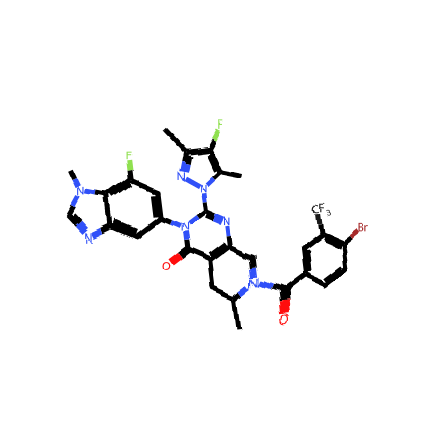 Cc1nn(-c2nc3c(c(=O)n2-c2cc(F)c4c(c2)ncn4C)CC(C)N(C(=O)c2ccc(Br)c(C(F)(F)F)c2)C3)c(C)c1F